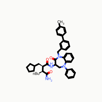 CCCC[C@H](C(N)=O)[C@@H](CC1CCCC1)C(=O)NC1CN(c2ccccc2)c2ccccc2N(Cc2cccc(-c3ccc(C)cc3)c2)C1=O